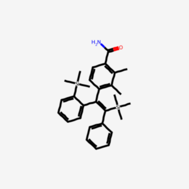 Cc1c(C(N)=O)ccc(C(=C(c2ccccc2)[Si](C)(C)C)c2ccccc2[Si](C)(C)C)c1C